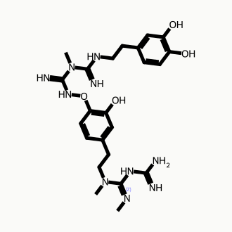 C/N=C(/NC(=N)N)N(C)CCc1ccc(ONC(=N)N(C)C(=N)NCCc2ccc(O)c(O)c2)c(O)c1